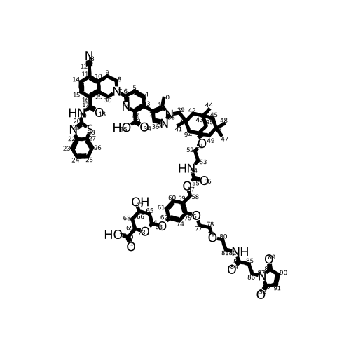 Cc1c(-c2ccc(N3CCc4c(C#N)ccc(C(=O)Nc5nc6ccccc6s5)c4C3)nc2C(=O)O)cnn1CC1(C)CC2(C)CC(C)(C)CC(OCCNC(=O)OCc3ccc(OC4CC(O)CC(C(=O)O)O4)cc3OCCOCCNC(=O)CCN3C(=O)C=CC3=O)(C1)C2